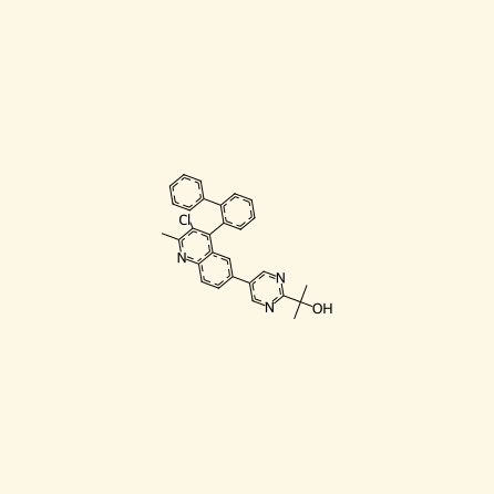 Cc1nc2ccc(-c3cnc(C(C)(C)O)nc3)cc2c(-c2ccccc2-c2ccccc2)c1Cl